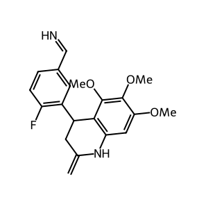 C=C1CC(c2cc(C=N)ccc2F)c2c(cc(OC)c(OC)c2OC)N1